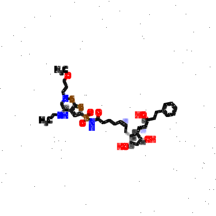 CCN[C@@H]1CN(CCCOC)Sc2sc(S(=O)(=O)NC(=O)CCC/C=C\C[C@@H]3[C@@H](/C=C/[C@@H](O)CCc4ccccc4)[C@H](O)C[C@@H]3O)cc21